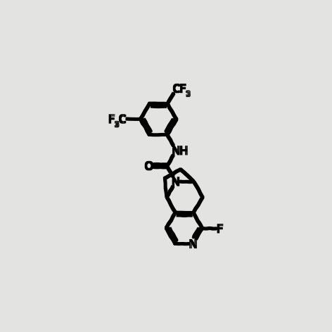 O=C(Nc1cc(C(F)(F)F)cc(C(F)(F)F)c1)N1C2CCC1c1ccnc(F)c1C2